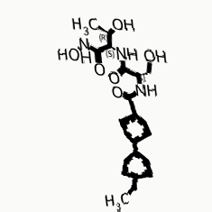 CCc1ccc(-c2ccc(C(=O)N[C@@H](CO)C(=O)N[C@H](C(=O)NO)[C@@H](C)O)cc2)cc1